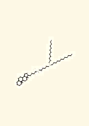 CCCCCCCCCCCCN(CCCCCCCCCCCC)CCCCCCNC(=O)CCCC1CCC2C3CCC4CCCCC4(C)C3CCC12C